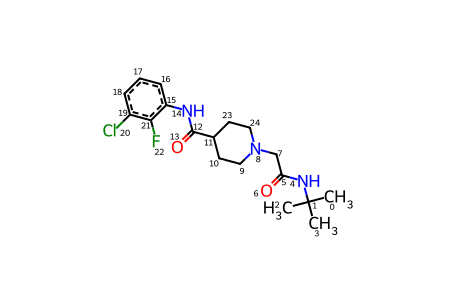 CC(C)(C)NC(=O)CN1CCC(C(=O)Nc2cccc(Cl)c2F)CC1